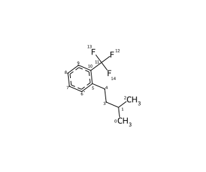 CC(C)CCc1[c]cccc1C(F)(F)F